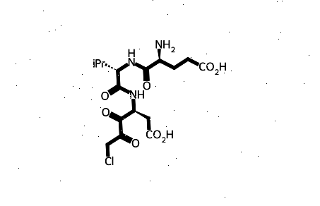 CC(C)[C@H](NC(=O)[C@@H](N)CCC(=O)O)C(=O)N[C@@H](CC(=O)O)C(=O)C(=O)CCl